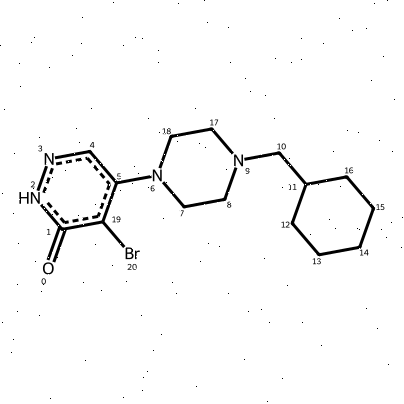 O=c1[nH]ncc(N2CCN(CC3CCCCC3)CC2)c1Br